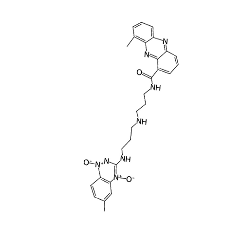 Cc1ccc2c(c1)[n+]([O-])c(NCCCNCCCNC(=O)c1cccc3nc4cccc(C)c4nc13)n[n+]2[O-]